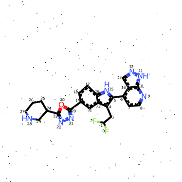 FC(F)Cc1c(-c2ccnc3[nH]ncc23)[nH]c2ccc(-c3nnc(C4CCCNC4)o3)cc12